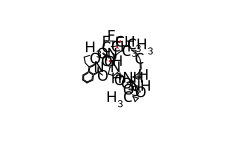 CC[C@@H]1C[C@H](C)CCC=C[C@@H]2C[C@@]2(C(=O)NS(=O)(=O)C2(C)CC2)NC(=O)[C@@H]2C[C@@H](Oc3nc4c(c5ccccc35)CCCO4)CN2C(=O)[C@H]1N(C(=O)O)C(C)(C)C(F)(F)F